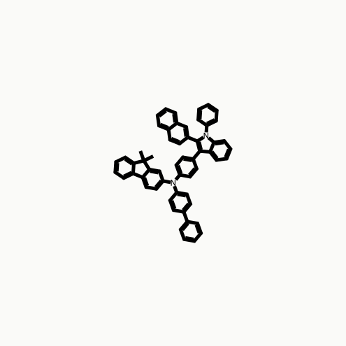 CC1(C)c2ccccc2-c2ccc(N(c3ccc(-c4ccccc4)cc3)c3ccc(-c4c(-c5ccc6ccccc6c5)n(-c5ccccc5)c5ccccc45)cc3)cc21